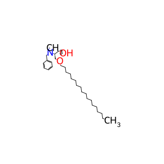 CCCCCCCCCCCCCCCCCCOC[C@H](CO)N(C)Cc1ccccc1